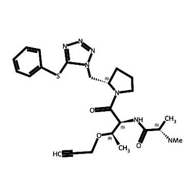 C#CCO[C@H](C)[C@H](NC(=O)[C@H](C)NC)C(=O)N1CCC[C@H]1Cn1nnnc1Sc1ccccc1